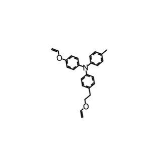 C=COCCc1ccc(N(c2ccc(C)cc2)c2ccc(OC=C)cc2)cc1